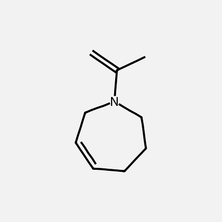 C=C(C)N1CC=CCCC1